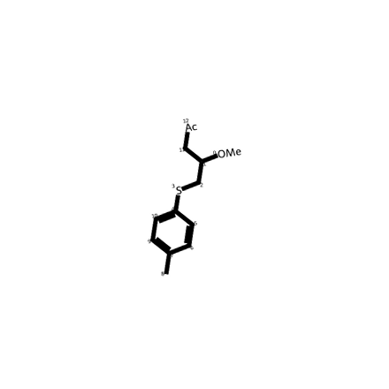 COC(CSc1ccc(C)cc1)CC(C)=O